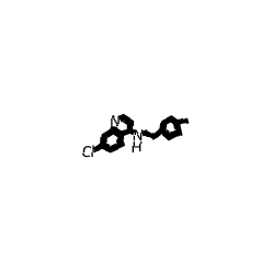 Cc1ccc(CCNc2ccnc3cc(Cl)ccc23)cc1